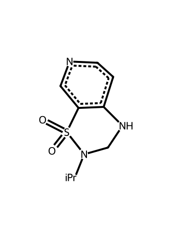 CC(C)N1CNc2ccncc2S1(=O)=O